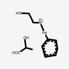 CC(O)C(=O)[O-].OCC[NH2+][Hg][c]1ccccc1